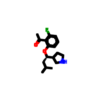 CC(=O)c1c(F)cccc1O[C@@H](CC(C)C)C1CCNC1